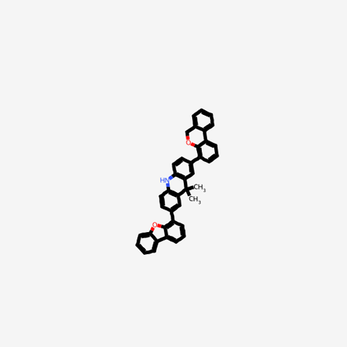 CC1(C)c2cc(-c3cccc4c3OCc3ccccc3-4)ccc2Nc2ccc(-c3cccc4c3oc3ccccc34)cc21